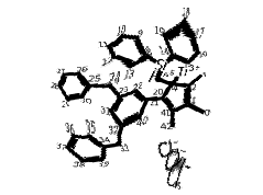 CC1=C(C)[C]([Ti+3])(C[SiH](c2ccccc2)c2ccccc2)C(c2cc(Cc3ccccc3)cc(Cc3ccccc3)c2)=C1C.[Cl-].[Cl-].[Cl-]